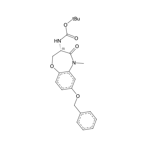 CN1C(=O)[C@@H](NC(=O)OC(C)(C)C)COc2ccc(OCc3ccccc3)cc21